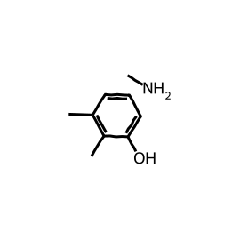 CN.Cc1cccc(O)c1C